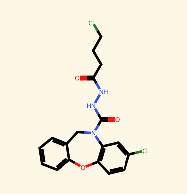 O=C(CCCCl)NNC(=O)N1Cc2ccccc2Oc2ccc(Cl)cc21